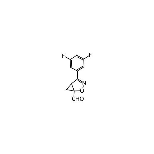 O=CC12CC1C(c1cc(F)cc(F)c1)=NO2